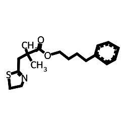 CC(C)(CC1=NCCS1)C(=O)OCCCCc1ccccc1